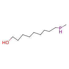 CPCCCCCCCCCO